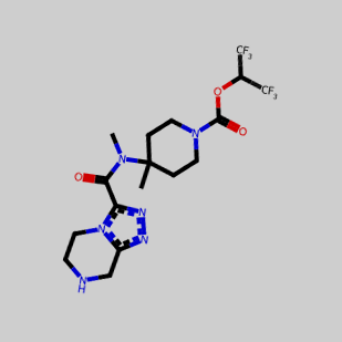 CN(C(=O)c1nnc2n1CCNC2)C1(C)CCN(C(=O)OC(C(F)(F)F)C(F)(F)F)CC1